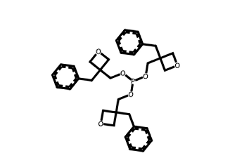 c1ccc(CC2(COP(OCC3(Cc4ccccc4)COC3)OCC3(Cc4ccccc4)COC3)COC2)cc1